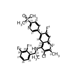 Cc1nc2cc(F)c(-c3ccc(P(C)(C)=O)nc3)cc2c(N[C@H](C)c2cccc(F)c2F)c1Cl